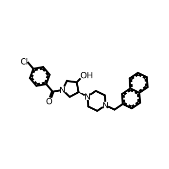 O=C(c1ccc(Cl)cc1)N1CC(O)[C@@H](N2CCN(Cc3ccc4ccccc4c3)CC2)C1